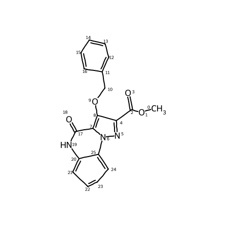 COC(=O)c1nn2c(c1OCc1ccccc1)c(=O)[nH]c1ccccc12